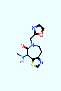 CNC1C(=O)N(Cc2ncco2)CCc2ncsc21